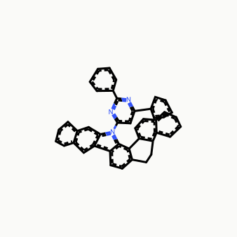 c1ccc(-c2cc(-n3c4cc5ccccc5cc4c4ccc5c(c43)-c3ccc4ccccc4c3CC5)nc(-c3ccccc3)n2)cc1